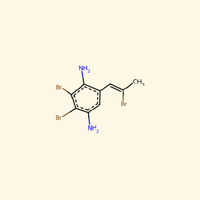 CC(Br)=Cc1cc(N)c(Br)c(Br)c1N